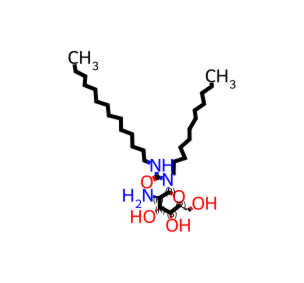 CCCCCCCCCCCCCCNC(=O)N(CCCCCCCCCCCC)[C@@H]1O[C@H](CO)[C@@H](O)[C@H](O)[C@H]1N